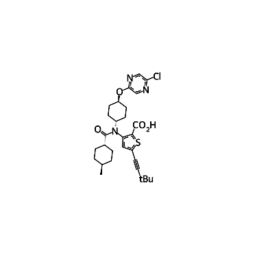 CC(C)(C)C#Cc1cc(N(C(=O)[C@H]2CC[C@H](C)CC2)[C@H]2CC[C@H](Oc3cnc(Cl)cn3)CC2)c(C(=O)O)s1